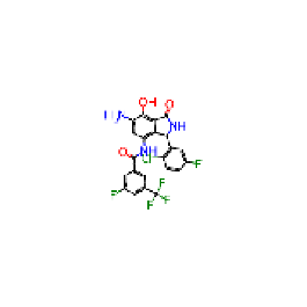 Nc1cc(NC(=O)c2cc(F)cc(C(F)(F)F)c2)c2c(c1O)C(=O)NC2c1cc(F)ccc1Cl